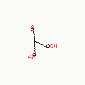 OC1CCC(CCCCCCCCC(CCCCCCCCC2CCC(O)CC2)CCCCCCCCC2CCC3OC3C2)CC1